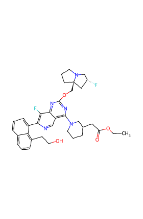 CCOC(=O)CC1CCCN(c2nc(OC[C@@]34CCCN3C[C@H](F)C4)nc3c(F)c(-c4cccc5cccc(CCO)c45)ncc23)C1